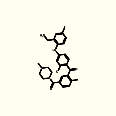 Cc1ccc(C(=O)N2CCN(C)CC2)cc1C(=O)c1ccc(Nc2ccc(F)cc2CN)cc1Cl